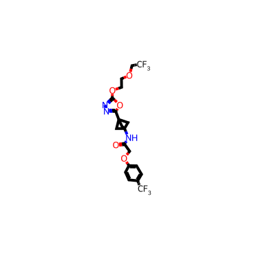 O=C(COc1ccc(C(F)(F)F)cc1)NC12CC(c3nnc(OCCOCC(F)(F)F)o3)(C1)C2